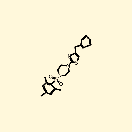 Cc1cc(C)c(S(=O)(=O)N2CCN(c3nc(Cc4ccccc4)cs3)CC2)c(C)c1